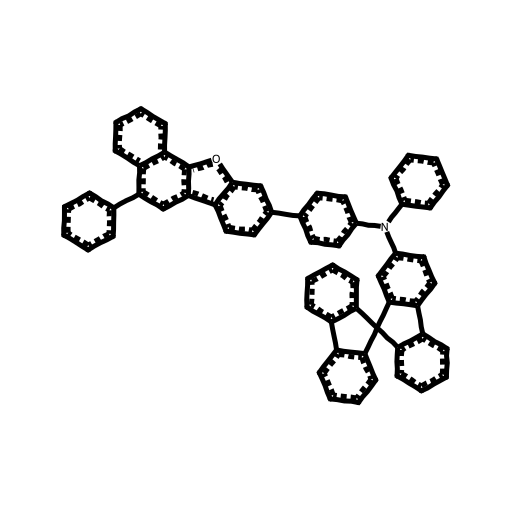 c1ccc(-c2cc3c4ccc(-c5ccc(N(c6ccccc6)c6ccc7c(c6)C6(c8ccccc8-c8ccccc86)c6ccccc6-7)cc5)cc4oc3c3ccccc23)cc1